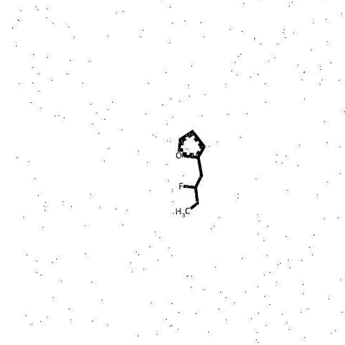 CCC(F)Cc1ccco1